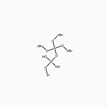 CCCCO[Si](OCCCC)(OCCCC)[O][Zr]([OH])([OH])[O]CC